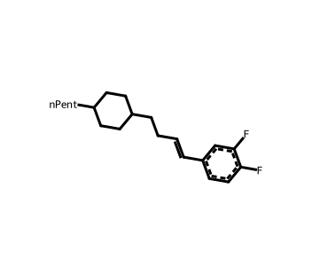 CCCCCC1CCC(CCC=Cc2ccc(F)c(F)c2)CC1